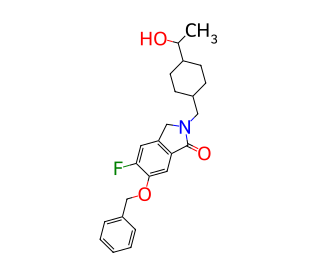 CC(O)C1CCC(CN2Cc3cc(F)c(OCc4ccccc4)cc3C2=O)CC1